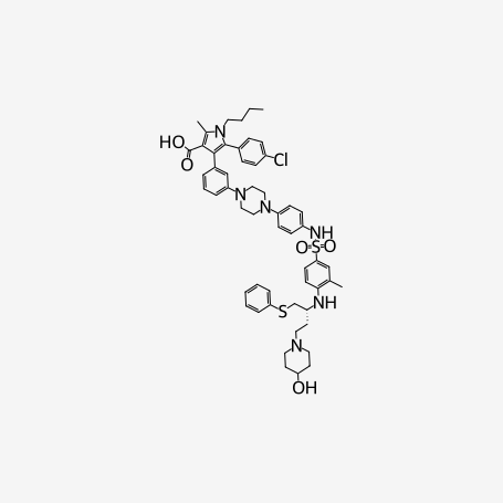 CCCCn1c(C)c(C(=O)O)c(-c2cccc(N3CCN(c4ccc(NS(=O)(=O)c5ccc(N[C@H](CCN6CCC(O)CC6)CSc6ccccc6)c(C)c5)cc4)CC3)c2)c1-c1ccc(Cl)cc1